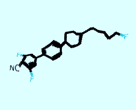 N#Cc1c(F)cc(-c2ccc(C3CCC(CC/C=C/CF)CC3)cc2)cc1F